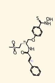 CS(=O)(=O)CC[C@H](COc1ccc(C(=S)NO)cc1)NC(=O)/C=C/c1ccccc1